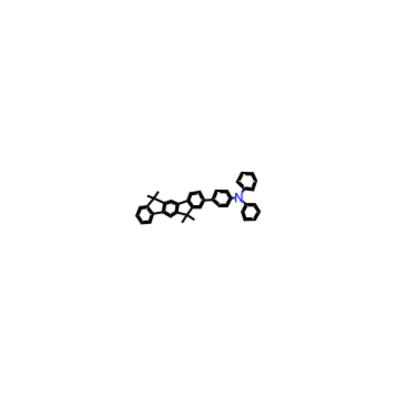 CC1(C)c2ccccc2-c2cc3c(cc21)-c1ccc(-c2ccc(N(c4ccccc4)c4ccccc4)cc2)cc1C3(C)C